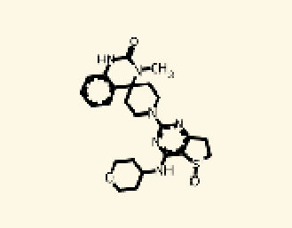 CN1C(=O)Nc2ccccc2C12CCN(c1nc3c(c(NC4CCOCC4)n1)[S+]([O-])CC3)CC2